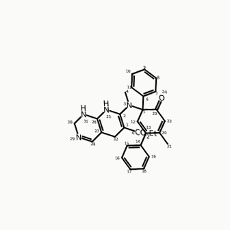 CCOC(=O)C1=C(N(C)C2(c3ccccc3)C=C(c3ccccc3)C(C)=CC2=O)NC2=C(C=NCN2)C1